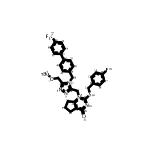 CCCCOCc1nnc(Cn2c(SCc3ccc(F)cc3)nc(=O)c3c2CCC3)n1Cc1ccc(-c2ccc(C(F)(F)F)cc2)cc1